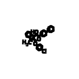 Cn1c(COc2ccc(Cl)cc2)c(C(O)C(=O)N2CCC(N3CCCCC3)CC2)c2ccccc21